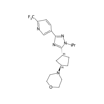 CC(C)n1nc(-c2ccc(C(F)(F)F)nc2)nc1[C@@H]1CC[C@@H](N2CCOCC2)C1